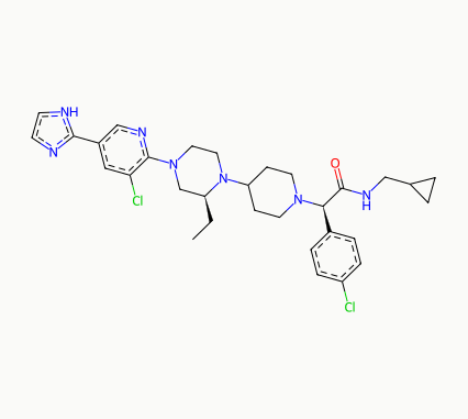 CC[C@H]1CN(c2ncc(-c3ncc[nH]3)cc2Cl)CCN1C1CCN([C@@H](C(=O)NCC2CC2)c2ccc(Cl)cc2)CC1